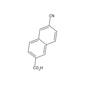 N#Cc1ccc2cc(C(=O)O)ccc2c1